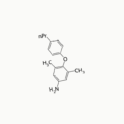 CCCc1ccc(Oc2c(C)cc(N)cc2C)cc1